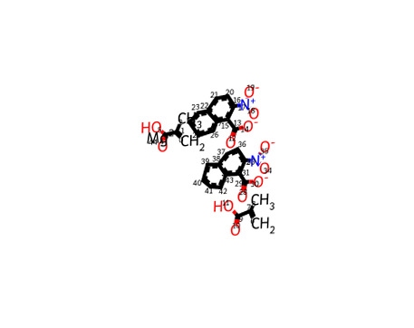 C=C(C)C(=O)O.C=C(C)C(=O)O.O=C([O-])c1c([N+](=O)[O-])ccc2ccccc12.O=C([O-])c1c([N+](=O)[O-])ccc2ccccc12.[Mg+2]